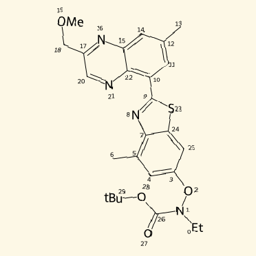 CCN(Oc1cc(C)c2nc(-c3cc(C)cc4nc(COC)cnc34)sc2c1)C(=O)OC(C)(C)C